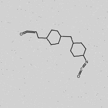 O=C=CCC1CCC(CC2CCC(N=C=O)CC2)CC1